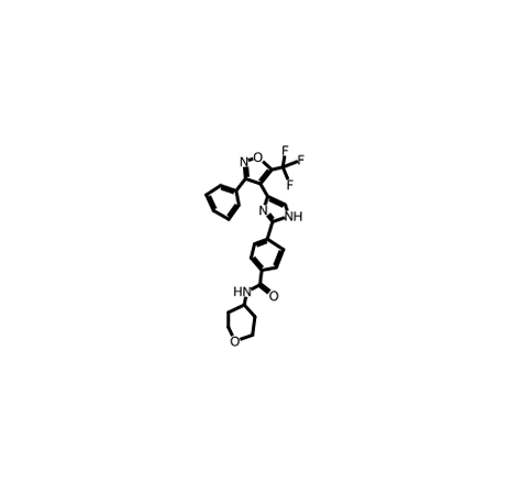 O=C(NC1CCOCC1)c1ccc(-c2nc(-c3c(-c4ccccc4)noc3C(F)(F)F)c[nH]2)cc1